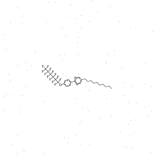 CCCCCCCCCCc1cnc(-c2ccc(OC(F)(F)C(F)(F)C(F)(F)C(F)(F)C(F)(F)C(F)(F)F)cc2)nc1